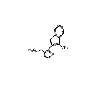 CCCc1cc[nH]c1C1=C(C)c2ccccc2[CH]1